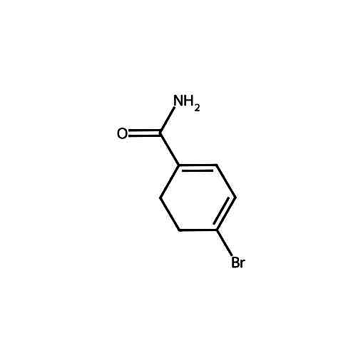 NC(=O)C1=CC=C(Br)CC1